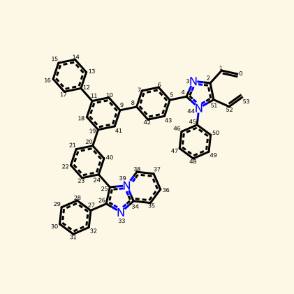 C=Cc1nc(-c2ccc(-c3cc(-c4ccccc4)cc(-c4cccc(-c5c(-c6ccccc6)nc6ccccn56)c4)c3)cc2)n(-c2ccccc2)c1C=C